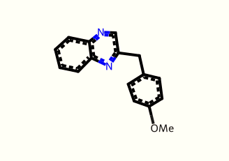 COc1ccc(Cc2cnc3ccccc3n2)cc1